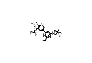 CCc1nc(-c2cnc(N)c(OC(F)F)c2)cc(N2CC(C)(OC)C2)n1